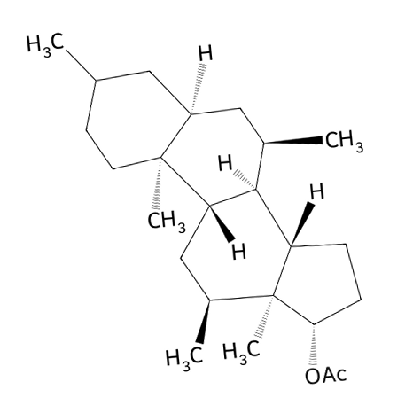 CC(=O)O[C@H]1CC[C@H]2[C@@H]3[C@H](C)C[C@@H]4CC(C)CC[C@]4(C)[C@H]3C[C@H](C)[C@]12C